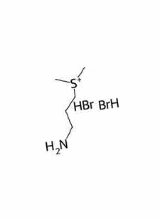 Br.Br.C[S+](C)CCCN